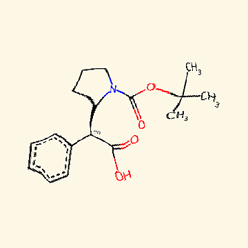 CC(C)(C)OC(=O)N1CCCC1[C@@H](C(=O)O)c1ccccc1